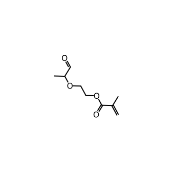 C=C(C)C(=O)OCCOC(C)C=O